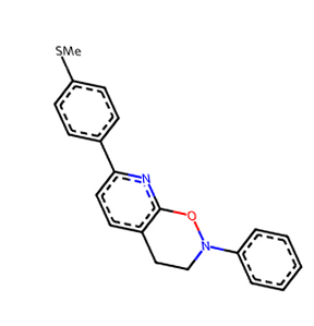 CSc1ccc(-c2ccc3c(n2)ON(c2ccccc2)CC3)cc1